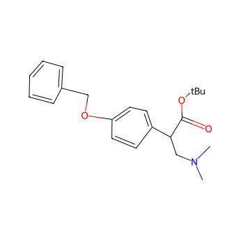 CN(C)CC(C(=O)OC(C)(C)C)c1ccc(OCc2ccccc2)cc1